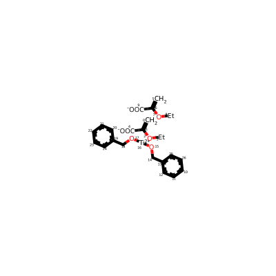 C=C(OCC)C(=O)[O-].C=C(OCC)C(=O)[O-].c1ccc(C[O][Ti+2][O]Cc2ccccc2)cc1